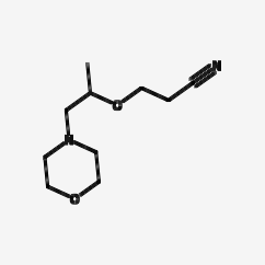 CC(CN1CCOCC1)OCCC#N